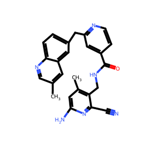 Cc1cnc2ccc(Cc3cc(C(=O)NCc4c(C)cc(N)nc4C#N)ccn3)cc2c1